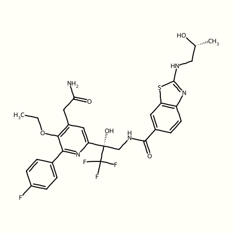 CCOc1c(CC(N)=O)cc([C@@](O)(CNC(=O)c2ccc3nc(NC[C@@H](C)O)sc3c2)C(F)(F)F)nc1-c1ccc(F)cc1